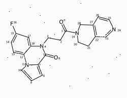 O=C(CCn1c(=O)c2cccn2c2ccc(F)cc21)N1CCc2cnccc2C1